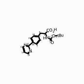 CC(C)(C)OC(=O)NC(Cc1ccc(-c2ncccn2)cc1)C(=O)O